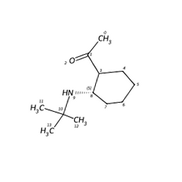 CC(=O)C1CCCC[C@@H]1NC(C)(C)C